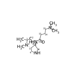 CC(C)N(C)[C@H]1CNC[C@@H]1NC(=O)CCCN(C)C